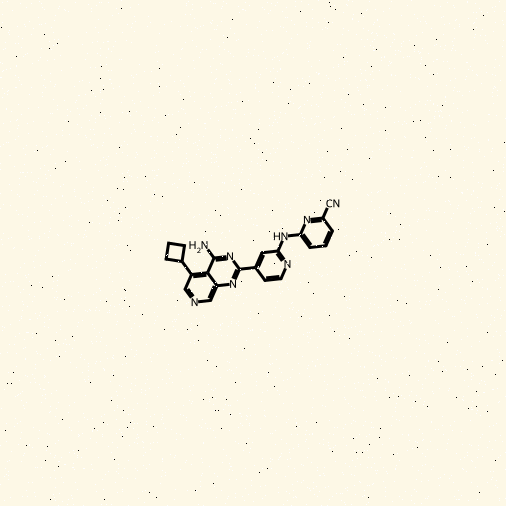 N#Cc1cccc(Nc2cc(-c3nc(N)c4c(C5CCC5)cncc4n3)ccn2)n1